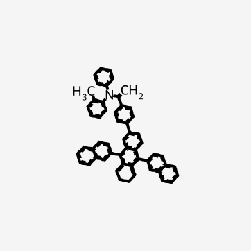 C=C(c1ccc(-c2ccc3c(-c4ccc5ccccc5c4)c4c(c(-c5ccc6ccccc6c5)c3c2)=CCCC=4)cc1)N(c1ccccc1)c1ccccc1C